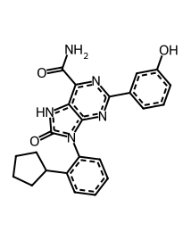 NC(=O)c1nc(-c2cccc(O)c2)nc2c1[nH]c(=O)n2-c1ccccc1C1CCCC1